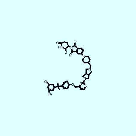 CC(C)(c1ccc(OCc2ccnc(N3CC4CN(CC5CCN(c6ccc7c(c6)C(=O)N(C6CCC(=O)NC6=O)C7=O)CC5)CC4C3)n2)cc1)c1cc(Cl)cc(C#N)c1